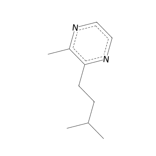 Cc1nccnc1CCC(C)C